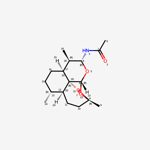 CC(=O)N[C@@H]1O[C@@H]2O[C@@]3(C)CC[C@H]4[C@H](C)CC[C@@H]([C@H]1C)[C@@]24OO3